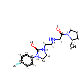 N#C[C@@H]1CCCN1C(=O)CNCCN1CCN(c2ccc(F)cc2)C1=O